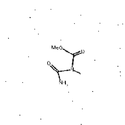 [CH2]OC(=O)N(C)C(N)=O